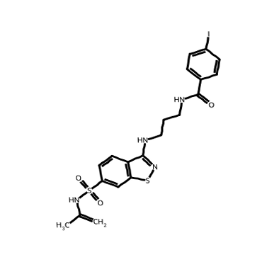 C=C(C)NS(=O)(=O)c1ccc2c(NCCCNC(=O)c3ccc(I)cc3)nsc2c1